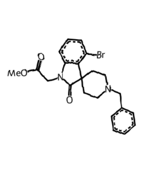 COC(=O)CN1C(=O)C2(CCN(Cc3ccccc3)CC2)c2c(Br)cccc21